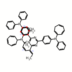 C=C(/C=C\C(=C/C)N(c1ccccc1)c1ccccc1)c1nc(C(/C=C\C(=C)N(c2ccccc2)C2C=CC=CC=C2)=C/C)nc(-c2ccc(N(C3=CCC=CC=C3)c3ccccc3)cc2)n1